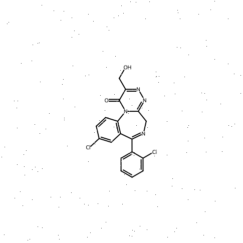 O=c1c(CO)nnc2n1-c1ccc(Cl)cc1C(c1ccccc1Cl)=NC2